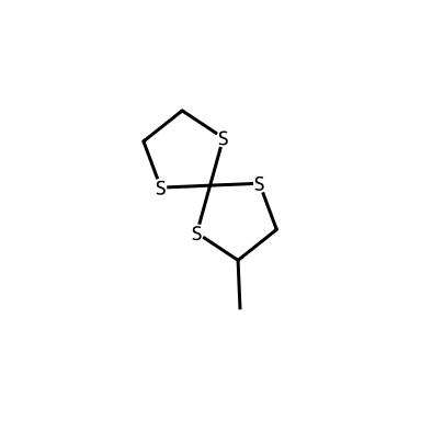 CC1CSC2(SCCS2)S1